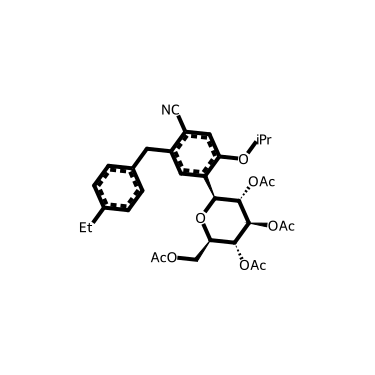 CCc1ccc(Cc2cc([C@@H]3O[C@H](COC(C)=O)[C@@H](OC(C)=O)[C@H](OC(C)=O)[C@H]3OC(C)=O)c(OC(C)C)cc2C#N)cc1